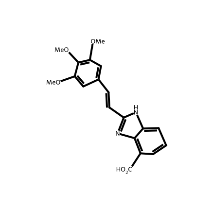 COc1cc(/C=C/c2nc3c(C(=O)O)cccc3[nH]2)cc(OC)c1OC